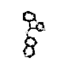 c1ccc2c(c1)C(Oc1ccc3ccncc3c1)c1cncn1-2